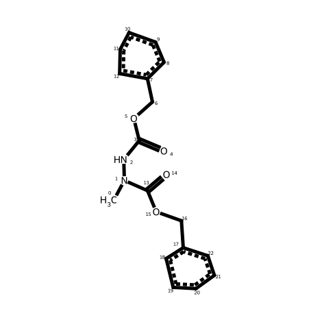 CN(NC(=O)OCc1ccccc1)C(=O)OCc1ccccc1